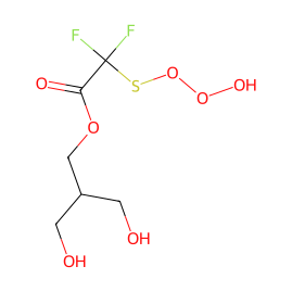 O=C(OCC(CO)CO)C(F)(F)SOOO